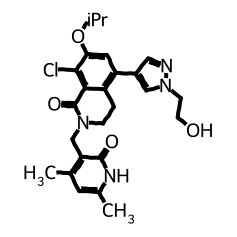 Cc1cc(C)c(CN2CCc3c(-c4cnn(CCO)c4)cc(OC(C)C)c(Cl)c3C2=O)c(=O)[nH]1